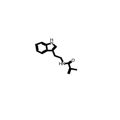 C=C(C)C(=O)NCCc1c[nH]c2ccccc12